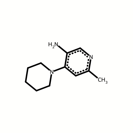 Cc1cc(N2CCCCC2)c(N)cn1